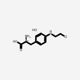 Cl.N[C@@H](Cc1ccc(NCCCl)cc1)C(=O)O